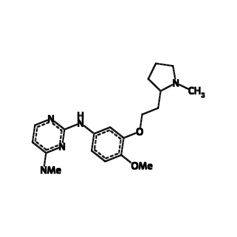 CNc1ccnc(Nc2ccc(OC)c(OCCC3CCCN3C)c2)n1